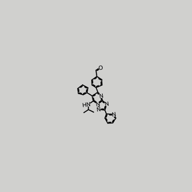 CC(C)Nc1c(-c2ccccc2)c(-c2ccc(C=O)cc2)nc2nc(-c3ccccn3)nn12